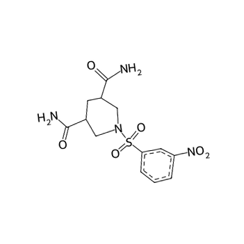 NC(=O)C1CC(C(N)=O)CN(S(=O)(=O)c2cccc([N+](=O)[O-])c2)C1